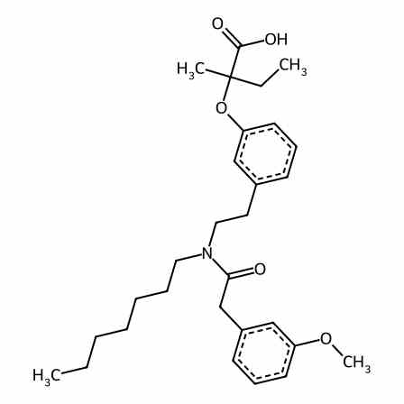 CCCCCCCN(CCc1cccc(OC(C)(CC)C(=O)O)c1)C(=O)Cc1cccc(OC)c1